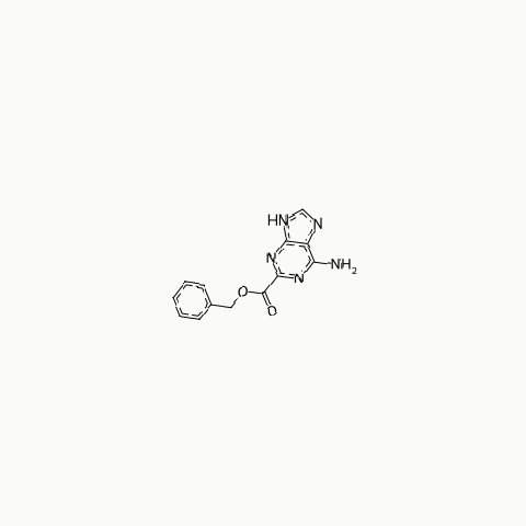 Nc1nc(C(=O)OCc2ccccc2)nc2[nH]cnc12